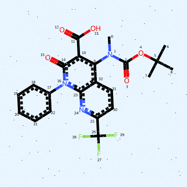 CN(C(=O)OC(C)(C)C)c1c(C(=O)O)c(=O)n(-c2ccccc2)c2nc(C(F)(F)F)ccc12